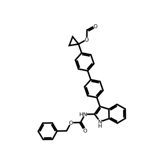 O=COC1(c2ccc(-c3ccc(-c4c(NC(=O)OCc5ccccc5)[nH]c5ccccc45)cc3)cc2)CC1